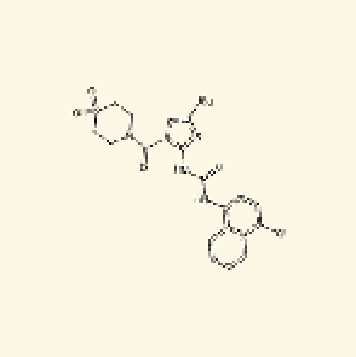 CC(C)(C)c1cc(C(=O)N2CCS(=O)(=O)CC2)c(NC(=O)Nc2ccc(Cl)c3ccccc23)s1